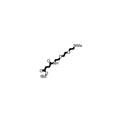 CNCCOCCOCCNC(=O)CCC(=O)OC(C)(C)C